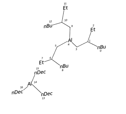 CCCCC(CC)[CH2][Al]([CH2]C(CC)CCCC)[CH2]C(CC)CCCC.CCCCCCCCC[CH2][Al]([CH2]CCCCCCCCC)[CH2]CCCCCCCCC